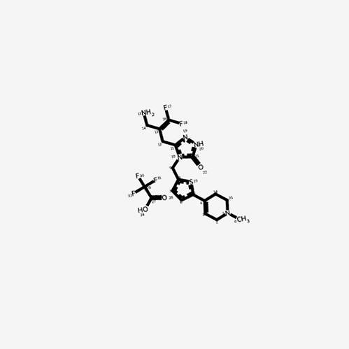 CN1CC=C(c2ccc(Cn3c(CC(CN)=C(F)F)n[nH]c3=O)s2)CC1.O=C(O)C(F)(F)F